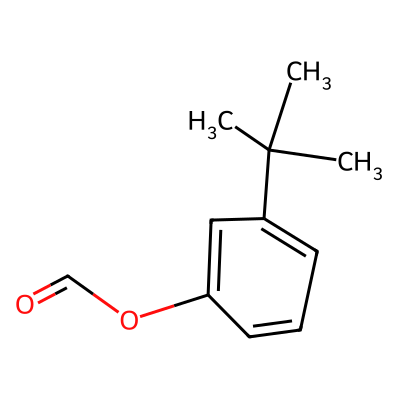 CC(C)(C)c1cccc(OC=O)c1